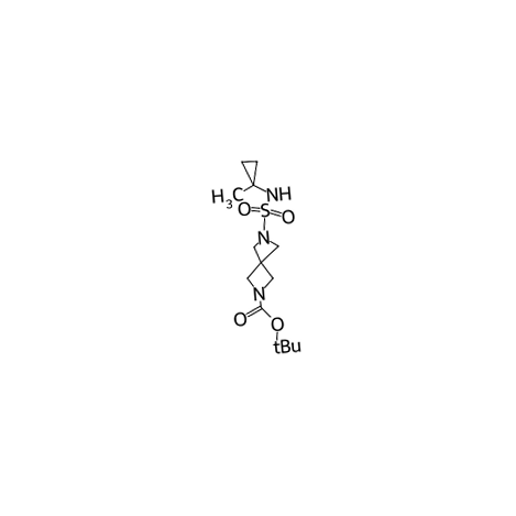 CC1(NS(=O)(=O)N2CC3(CN(C(=O)OC(C)(C)C)C3)C2)CC1